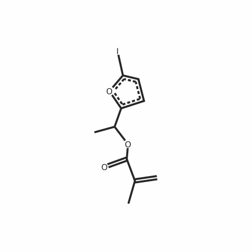 C=C(C)C(=O)OC(C)c1ccc(I)o1